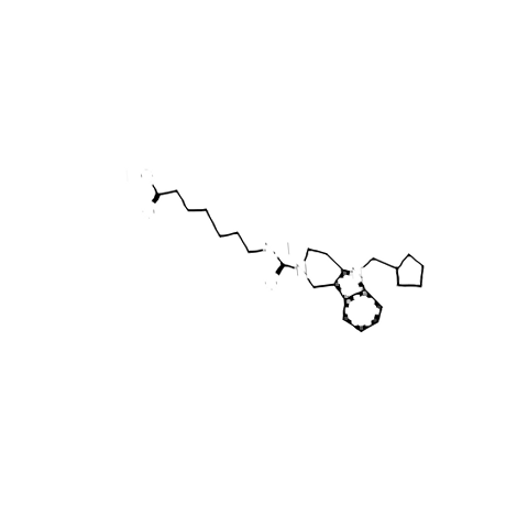 O=C(O)CCCCCCNC(=O)N1CCc2c(c3ccccc3n2CC2CCCC2)C1